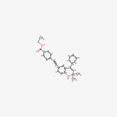 CCOC(=O)c1ccc(C#Cc2ccc3c(c2)C(c2ccccc2)=CC(C)(C)O3)cc1